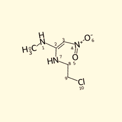 CNC(=C[N+](=O)[O-])NCCCl